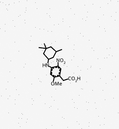 COc1cc(NC2CC(C)CC(C)(C)C2)c([N+](=O)[O-])cc1CC(=O)O